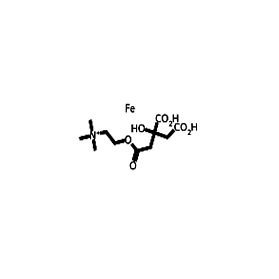 C[N+](C)(C)CCOC(=O)CC(O)(CC(=O)O)C(=O)O.[Fe]